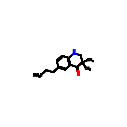 CCOC(=O)CCc1ccc2c(c1)C(=O)C(C)(C)CN2